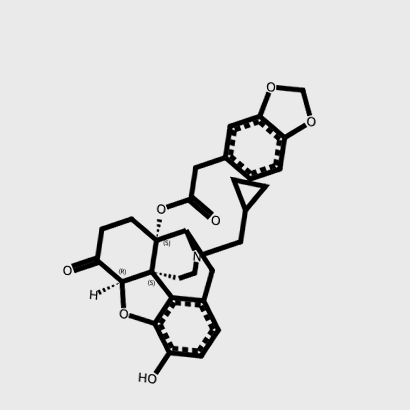 O=C(Cc1ccc2c(c1)OCO2)O[C@@]12CCC(=O)[C@@H]3Oc4c(O)ccc5c4[C@@]31CCN(CC1CC1)C2C5